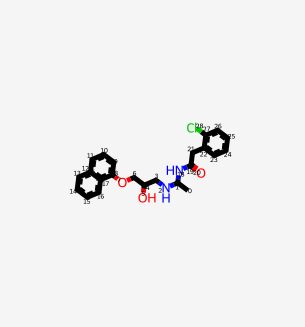 CC(NCC(O)COc1cccc2ccccc12)NC(=O)Cc1ccccc1Cl